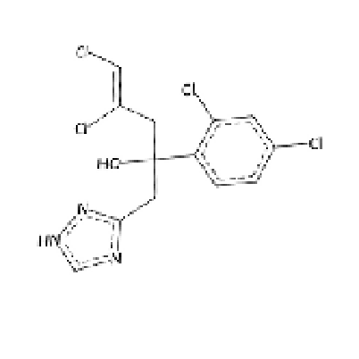 OC(CC(Cl)=CCl)(Cc1nc[nH]n1)c1ccc(Cl)cc1Cl